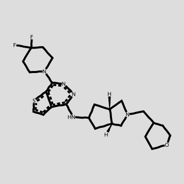 FC1(F)CCN(c2nnc(NC3C[C@@H]4CN(CC5CCOCC5)C[C@@H]4C3)c3ccsc23)CC1